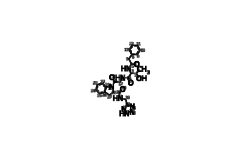 C[C@@H](O)[C@H](NC(=O)Cc1ccccc1)C(=O)NCC(=O)N1c2ccccc2C[C@H]1C(=O)NCc1nn[nH]n1